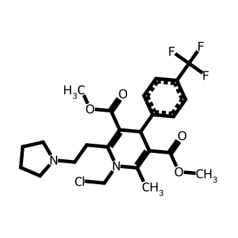 COC(=O)C1=C(C)N(CCl)C(CCN2CCCC2)=C(C(=O)OC)C1c1ccc(C(F)(F)F)cc1